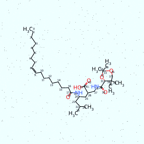 CCCCCCCC/C=C\CCCCCCCC(=O)NC(CC(C)C)CC(CNC(=O)C1OC(C)(C)OCC1(C)C)C(=O)O